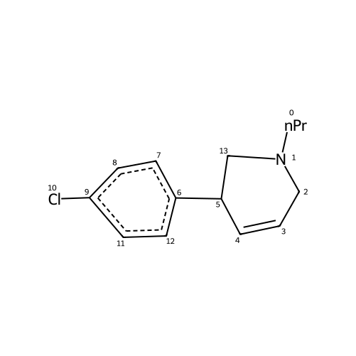 [CH2]CCN1CC=CC(c2ccc(Cl)cc2)C1